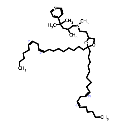 CCCCC/C=C\C/C=C\CCCCCCCCC1(CCCCCCCC/C=C\C/C=C\CCCCC)OCC(CCN(C)CC(C)CC(C)(C)c2ccncc2)O1